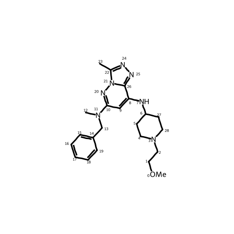 COCCN1CCC(Nc2cc(N(C)Cc3ccccc3)nn3c(C)nnc23)CC1